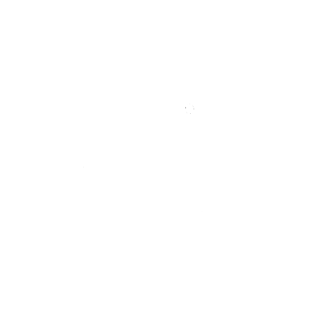 C=CC=Cc1ccccc1.C=O